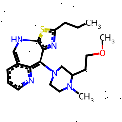 CCCc1nc2c(s1)NC=c1cccnc1=C2N1CCN(C)C(CCOC)C1